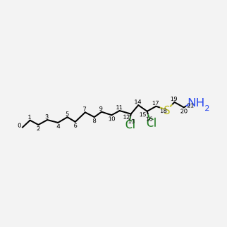 CCCCCCCCCCCCC(Cl)CC(Cl)CSCCN